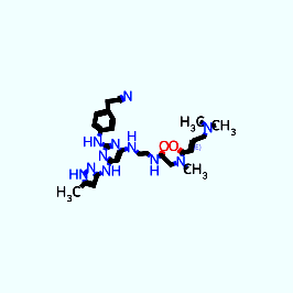 Cc1cc(Nc2cc(NCCNC(=O)CN(C)C(=O)/C=C/CN(C)C)nc(Nc3ccc(CC#N)cc3)n2)n[nH]1